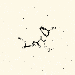 CCOC(=O)C(Cc1cccc(OC)c1)NC(=O)CNC(=O)OC(C)(C)C